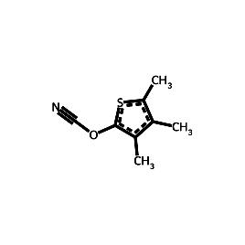 Cc1sc(OC#N)c(C)c1C